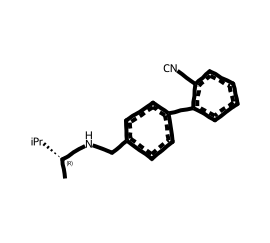 [C-]#[N+]c1ccccc1-c1ccc(CN[C@H](C)C(C)C)cc1